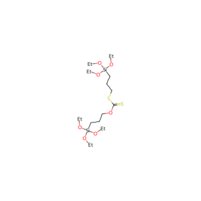 CCO[Si](CCCOC(=S)SCCC[Si](OCC)(OCC)OCC)(OCC)OCC